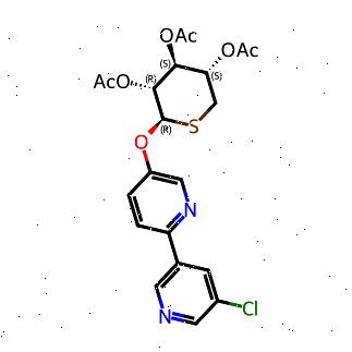 CC(=O)O[C@@H]1[C@@H](OC(C)=O)[C@H](OC(C)=O)CS[C@H]1Oc1ccc(-c2cncc(Cl)c2)nc1